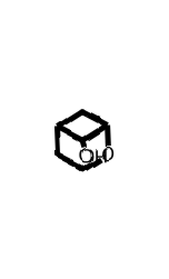 OC1C2CCOC1C2